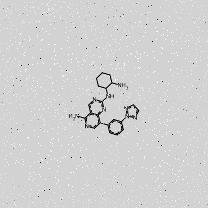 Nc1ncc(-c2cccc(-n3nccn3)c2)c2nc(NC3CCCCC3N)ncc12